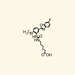 COc1ccc(-c2nc3ccc(F)cc3o2)cc1NC(=O)NCCCCCC(=O)O